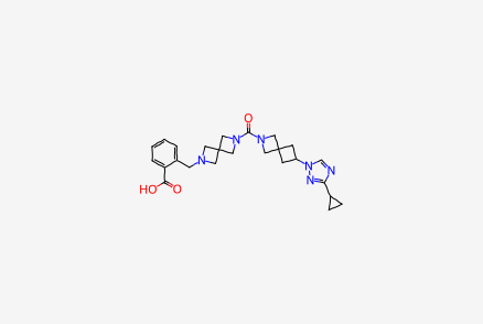 O=C(O)c1ccccc1CN1CC2(C1)CN(C(=O)N1CC3(CC(n4cnc(C5CC5)n4)C3)C1)C2